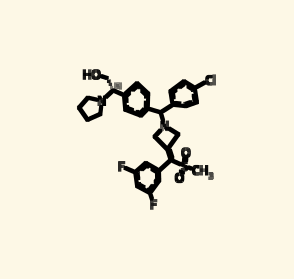 CS(=O)(=O)C(=C1CN(C(c2ccc(Cl)cc2)c2ccc([C@@H](CO)N3CCCC3)cc2)C1)c1cc(F)cc(F)c1